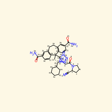 N#CC1CCCN1C(=O)CN[C@@H](CC1(c2nnn[nH]2)c2ccc(C(N)=O)cc2CCc2cc(C(N)=O)ccc21)C1CCCCC1